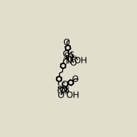 COc1ccc(C2S[C@@]3(CO)C(=O)N(C)[C@@](Cc4ccc(CCc5ccc(C[C@]67SC(c8ccc(OC)cc8)S[C@](CO)(C(=O)N6C)N(C)C7=O)cc5)cc4)(S2)C(=O)N3C)cc1